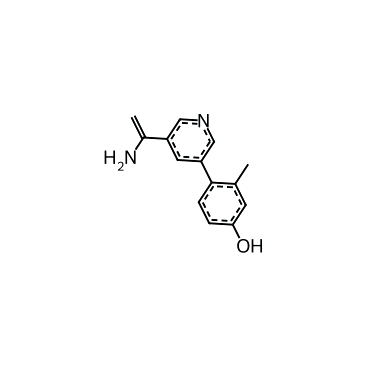 C=C(N)c1cncc(-c2ccc(O)cc2C)c1